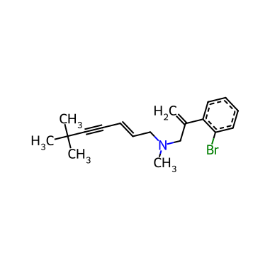 C=C(CN(C)C/C=C/C#CC(C)(C)C)c1ccccc1Br